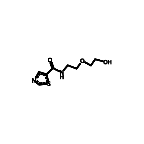 O=C(NCCOCCO)c1cncs1